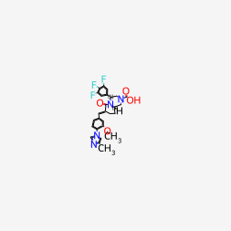 COc1cc(C=C2CC[C@H]3CN(C(=O)O)C[C@H](c4cc(F)c(F)c(F)c4)N3C2=O)ccc1-n1cnc(C)c1